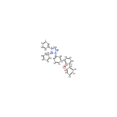 c1ccc(-c2nnc(-c3cccc(-c4cccc5c4oc4ccccc45)c3)n2-c2ccccc2)cc1